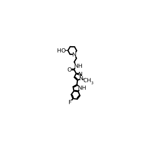 Cn1nc(C(=O)NCCN2CCC[C@H](O)C2)cc1-c1cc2cc(F)ccc2[nH]1